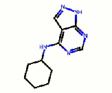 c1nc(NC2CCCCC2)c2cn[nH]c2n1